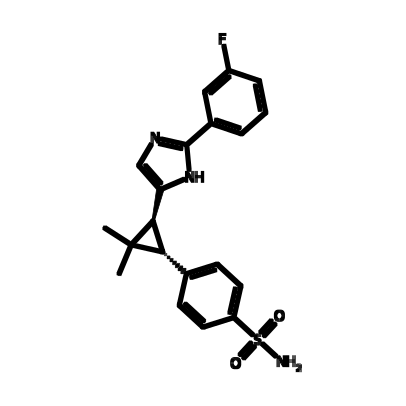 CC1(C)[C@@H](c2ccc(S(N)(=O)=O)cc2)[C@@H]1c1cnc(-c2cccc(F)c2)[nH]1